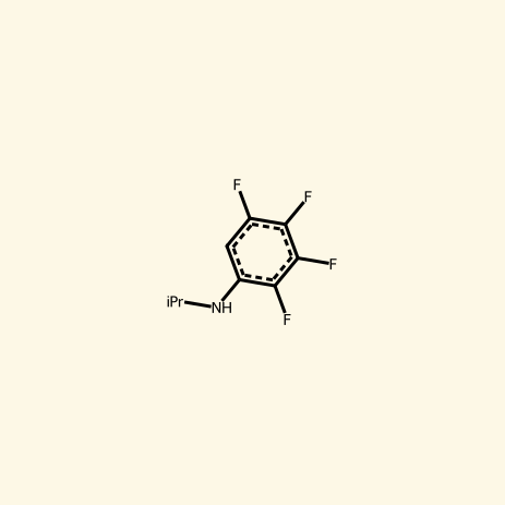 CC(C)Nc1cc(F)c(F)c(F)c1F